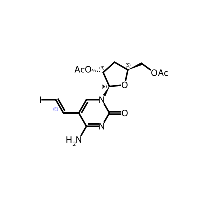 CC(=O)OC[C@@H]1C[C@@H](OC(C)=O)[C@H](n2cc(/C=C/I)c(N)nc2=O)O1